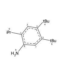 CC(C)c1cc(C(C)(C)C)c(C(C)(C)C)cc1N